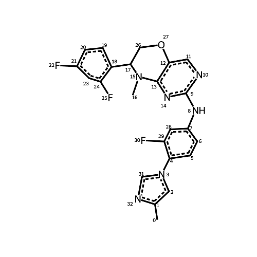 Cc1cn(-c2ccc(Nc3ncc4c(n3)N(C)C(c3ccc(F)cc3F)CO4)cc2F)cn1